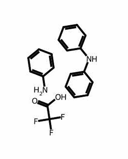 Nc1ccccc1.O=C(O)C(F)(F)F.c1ccc(Nc2ccccc2)cc1